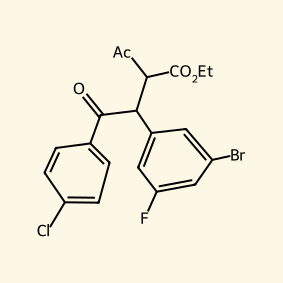 CCOC(=O)C(C(C)=O)C(C(=O)c1ccc(Cl)cc1)c1cc(F)cc(Br)c1